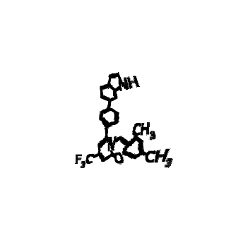 Cc1ccc(Cn2c(-c3ccc(-c4ccc5cc[nH]c5c4)cc3)cc(C(F)(F)F)cc2=O)c(C)c1